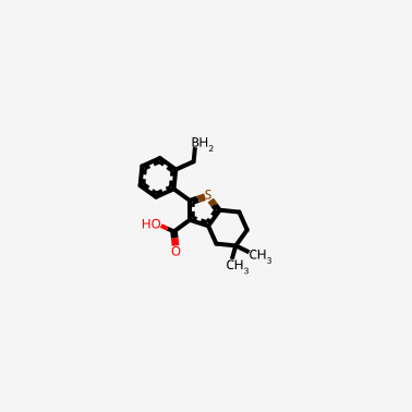 BCc1ccccc1-c1sc2c(c1C(=O)O)CC(C)(C)CC2